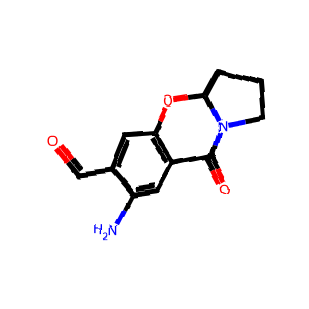 Nc1cc2c(cc1C=O)OC1CCCN1C2=O